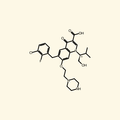 CC(C)[C@@H](CO)n1cc(C(=O)O)c(=O)c2cc(Cc3cccc(Cl)c3F)c(OCCN3CCNCC3)cc21